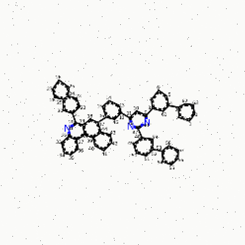 c1ccc(-c2cccc(-c3cc(-c4cccc(-c5cc6c(-c7ccc8ccccc8c7)nc7ccccc7c6c6ccccc56)c4)nc(-c4cccc(-c5ccccc5)c4)n3)c2)cc1